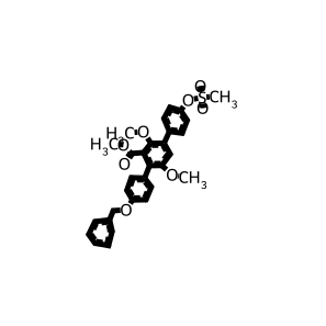 COC(=O)c1c(OC)c(-c2ccc(OS(C)(=O)=O)cc2)cc(OC)c1-c1ccc(OCc2ccccc2)cc1